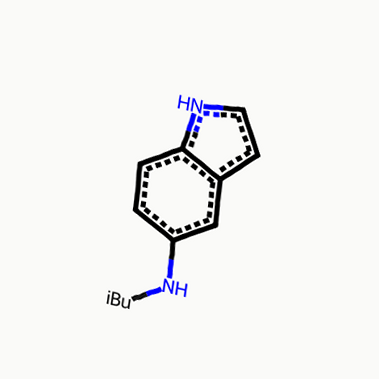 CCC(C)Nc1ccc2[nH]ccc2c1